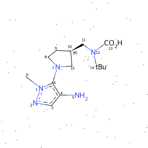 Cn1ncc(N)c1N1CC[C@@H](CN(C(=O)O)C(C)(C)C)C1